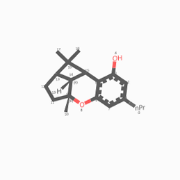 CCCc1cc(O)c2c(c1)O[C@]1(C)CCC3[C@@H]1C2C3(C)C